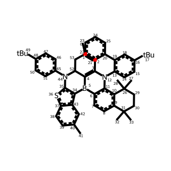 CC1=CC2=C3B(c4ccc5c(c4N2c2ccc(C(C)(C)C)cc2-c2ccccc2)C(C)(C)CCC5(C)C)c2c(sc4ccc(C)cc24)N(c2ccc(C(C)(C)C)cc2)C3C1